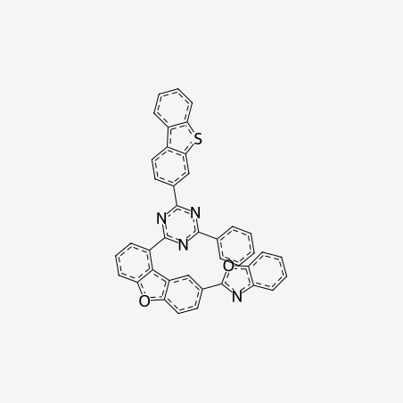 c1ccc(-c2nc(-c3ccc4c(c3)sc3ccccc34)nc(-c3cccc4oc5ccc(-c6nc7ccccc7o6)cc5c34)n2)cc1